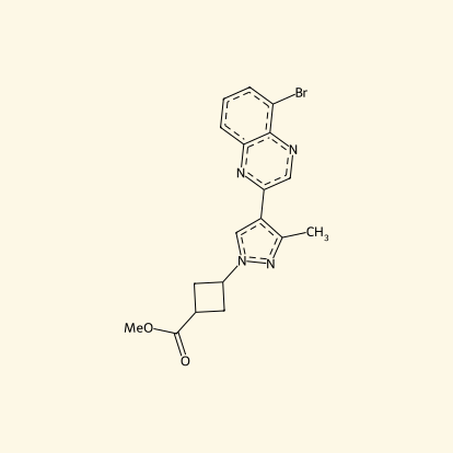 COC(=O)C1CC(n2cc(-c3cnc4c(Br)cccc4n3)c(C)n2)C1